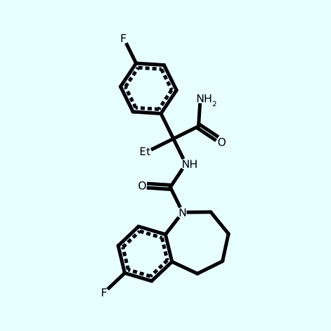 CCC(NC(=O)N1CCCCc2cc(F)ccc21)(C(N)=O)c1ccc(F)cc1